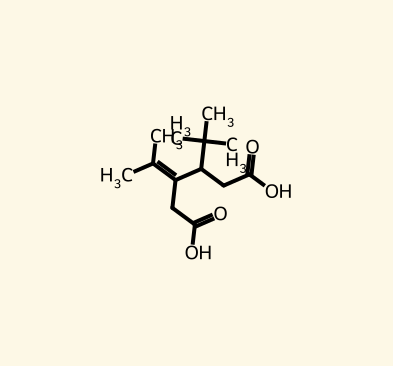 CC(C)=C(CC(=O)O)C(CC(=O)O)C(C)(C)C